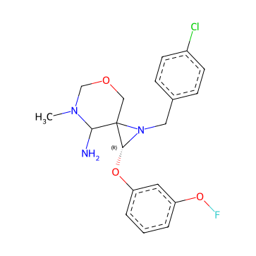 CN1COCC2(C1N)[C@@H](Oc1cccc(OF)c1)N2Cc1ccc(Cl)cc1